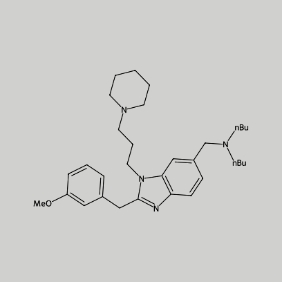 CCCCN(CCCC)Cc1ccc2nc(Cc3cccc(OC)c3)n(CCCN3CCCCC3)c2c1